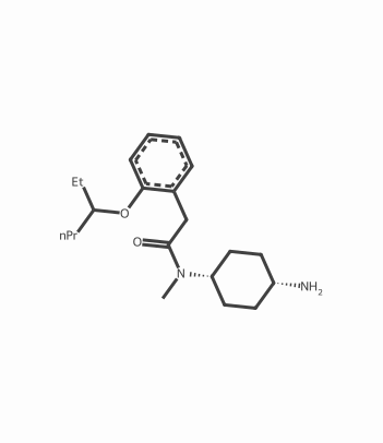 CCCC(CC)Oc1ccccc1CC(=O)N(C)[C@H]1CC[C@@H](N)CC1